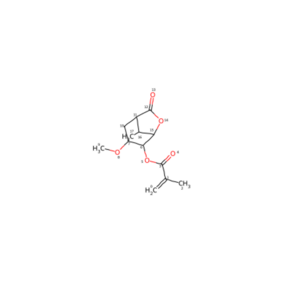 C=C(C)C(=O)OC1C(OC)CC2C(=O)OC1C2C